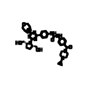 O=C(Nc1ccc(C(=O)N2CCN(C3CC3)CC2)cc1)Nc1ccc(-c2nc(N3C4CCC3COC4)nc(N3[C@H](CO)CC[C@@H]3CO)n2)cc1